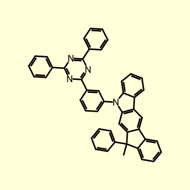 CC1(c2ccccc2)c2ccccc2-c2cc3c4ccccc4n(-c4cccc(-c5nc(-c6ccccc6)nc(-c6ccccc6)n5)c4)c3cc21